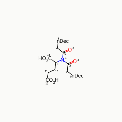 CCCCCCCCCCCC(=O)N(C(=O)CCCCCCCCCCC)C(CCC(=O)O)C(=O)O